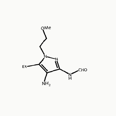 CCc1c(N)c(NC=O)nn1CCOC